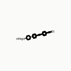 CCC#Cc1ccc(C#Cc2ccc([C@H]3CC[C@H](CCCCCCC)CC3)cc2)cc1